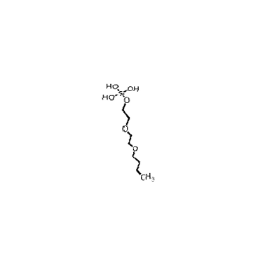 CCCCOCCOCCO[Si](O)(O)O